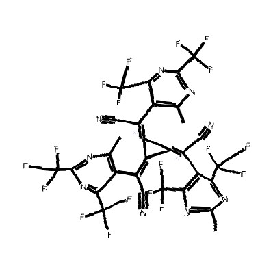 Cc1nc(C(F)(F)F)c(/C(C#N)=C2\C(=C(C#N)c3c(C)nc(C(F)(F)F)nc3C(F)(F)F)\C2=C(/C#N)c2c(C)nc(C(F)(F)F)nc2C(F)(F)F)c(C(F)(F)F)n1